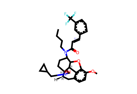 CCCCN(C(=O)/C=C/c1cccc(C(F)(F)F)c1)C1CC[C@@]2(O)[C@H]3Cc4ccc(OC)c5c4[C@@]2(CCN3CC2CC2)C1O5